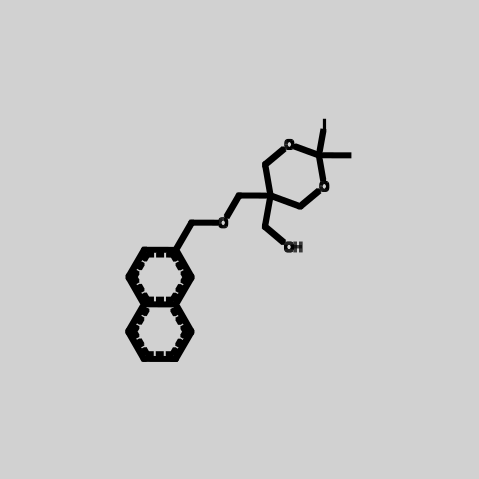 CC1(I)OCC(CO)(COCc2ccc3ccccc3c2)CO1